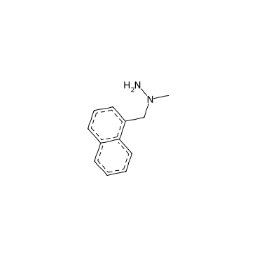 CN(N)Cc1cccc2ccccc12